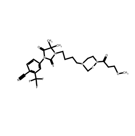 COCCC(=O)N1CCN(CCCCN2C(=S)N(c3ccc(C#N)c(C(F)(F)F)c3)C(=O)C2(C)C)CC1